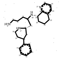 NCCCC(C[C@@H]1CC(c2ccccc2)CCN1)N[C@H]1CCCc2cccnc21